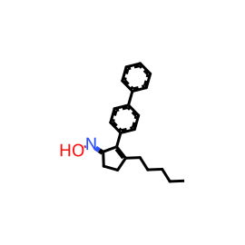 CCCCCC1=C(c2ccc(-c3ccccc3)cc2)C(=NO)CC1